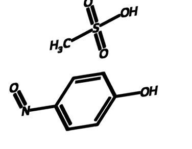 CS(=O)(=O)O.O=Nc1ccc(O)cc1